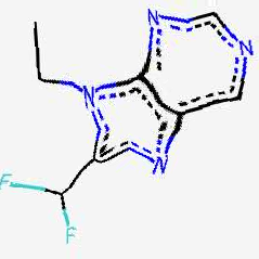 CCn1c(C(F)F)nc2cncnc21